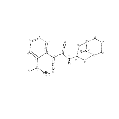 CN(N)c1ccccc1C(=O)C(=O)NC1CC2CCCC(C1)N2C